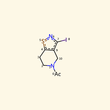 CC(=O)N1CCc2snc(I)c2C1